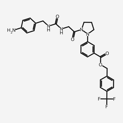 Nc1ccc(CNC(=O)NCC(=O)N2CCCN2c2cccc(C(=O)OCc3ccc(C(F)(F)F)cc3)c2)cc1